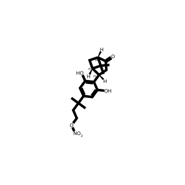 CC(C)(CCO[N+](=O)[O-])c1cc(O)c([C@H]2CC(=O)[C@H]3C[C@@H]2C3(C)C)c(O)c1